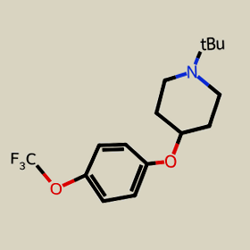 CC(C)(C)N1CCC(Oc2ccc(OC(F)(F)F)cc2)CC1